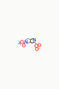 CC(C)(C)OC(=O)N1CCc2cnc(COS(C)(=O)=O)cc2C1